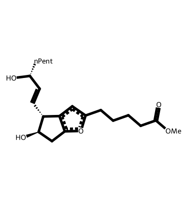 CCCCC[C@@H](O)C=C[C@@H]1c2cc(CCCCC(=O)OC)oc2C[C@H]1O